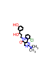 CN(C)c1ncc(C(=O)NCCC(O)c2cccc(O)c2)c(-c2ccccc2Cl)n1